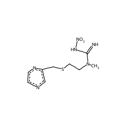 CN(CCSCc1cnccn1)C(=N)N[N+](=O)[O-]